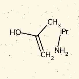 C=C(C)O.CC(C)N